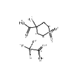 NC1(C(=O)O)CCS(=O)(=O)CC1.O=C(O)C(F)(F)F